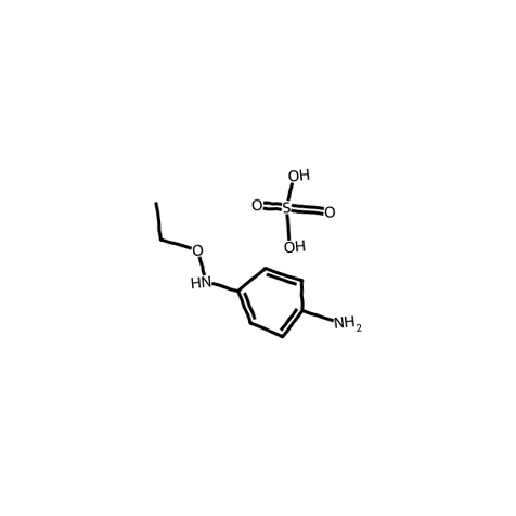 CCONc1ccc(N)cc1.O=S(=O)(O)O